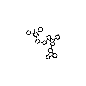 c1ccc(C2=NC(c3cccc(-c4cccc(-c5cccc6c5c5cc(-c7ccc8c9ccccc9c9ccccc9c8c7)ccc5n6-c5ccccc5)c4)c3)=NC(c3ccccc3)N2)cc1